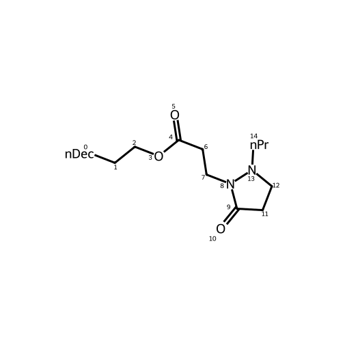 CCCCCCCCCCCCOC(=O)CCN1C(=O)CCN1CCC